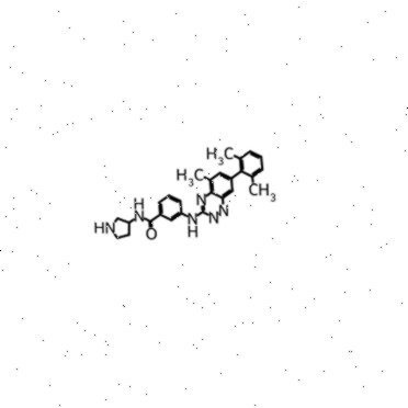 Cc1cccc(C)c1-c1cc(C)c2nc(Nc3cccc(C(=O)NC4CCNC4)c3)nnc2c1